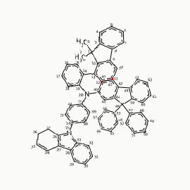 CC1(C)c2ccccc2-c2cccc(-c3ccccc3N(c3ccc(-n4c5c(c6ccccc64)C=CCC5)cc3)c3ccc4c(c3)C(c3ccccc3)(c3ccccc3)c3ccccc3-4)c21